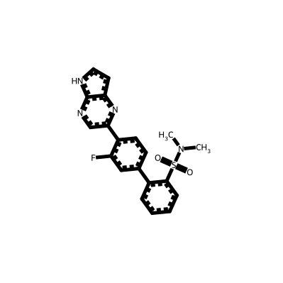 CN(C)S(=O)(=O)c1ccccc1-c1ccc(-c2cnc3[nH]ccc3n2)c(F)c1